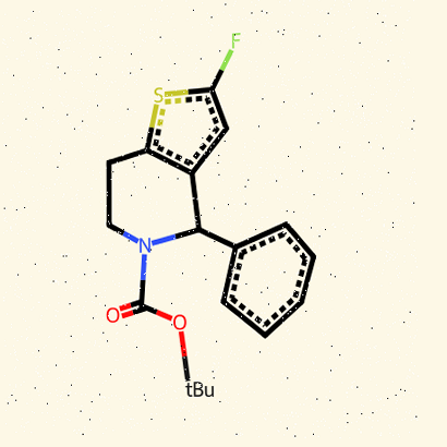 CC(C)(C)OC(=O)N1CCc2sc(F)cc2C1c1ccccc1